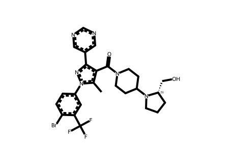 Cc1c(C(=O)N2CCC(N3CCC[C@H]3CO)CC2)c(-c2cncnc2)nn1-c1ccc(Br)c(C(F)(F)F)c1